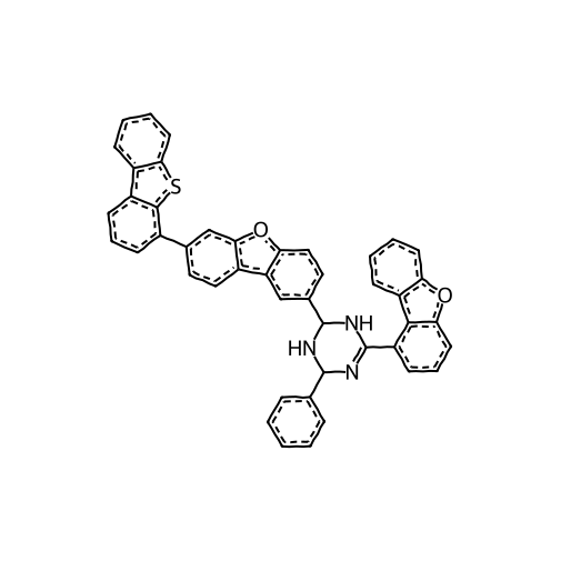 c1ccc(C2N=C(c3cccc4oc5ccccc5c34)NC(c3ccc4oc5cc(-c6cccc7c6sc6ccccc67)ccc5c4c3)N2)cc1